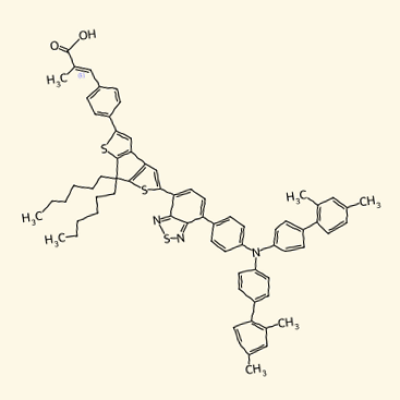 CCCCCCC1(CCCCCC)c2sc(-c3ccc(/C=C(\C)C(=O)O)cc3)cc2-c2cc(-c3ccc(-c4ccc(N(c5ccc(-c6ccc(C)cc6C)cc5)c5ccc(-c6ccc(C)cc6C)cc5)cc4)c4nsnc34)sc21